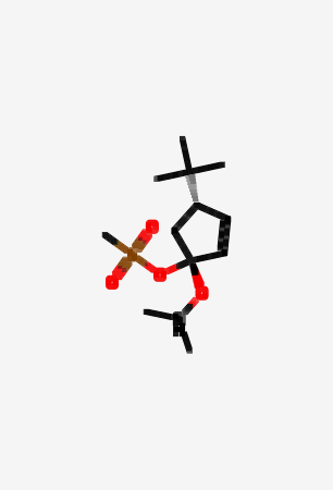 C[SiH](C)O[C@]1(OS(C)(=O)=O)C=C[C@@H](C(C)(C)C)C1